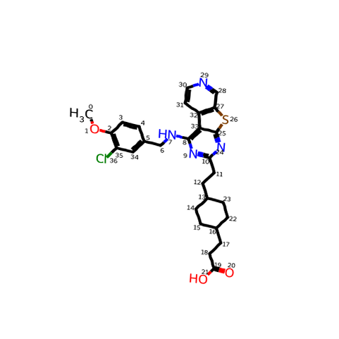 COc1ccc(CNc2nc(CCC3CCC(CCC(=O)O)CC3)nc3sc4cnccc4c23)cc1Cl